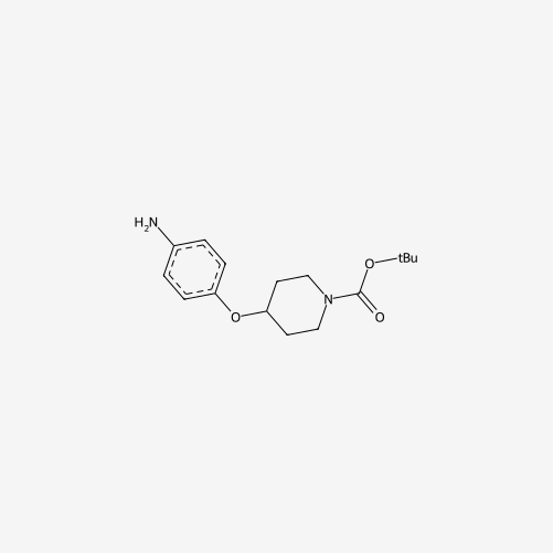 CC(C)(C)OC(=O)N1CCC(Oc2ccc(N)cc2)CC1